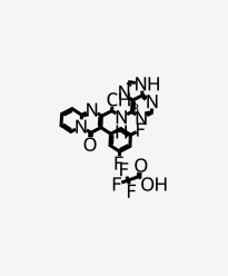 CC(Nc1ncnc2[nH]cnc12)c1nc2ccccn2c(=O)c1-c1cc(F)cc(F)c1.O=C(O)C(F)(F)F